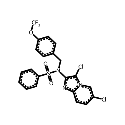 O=S(=O)(c1ccccc1)N(Cc1ccc(OC(F)(F)F)cc1)c1nc2ccc(Cl)cn2c1Cl